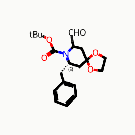 CC(C)(C)OC(=O)N1C(C=O)CC2(C[C@@H]1Cc1ccccc1)OCCO2